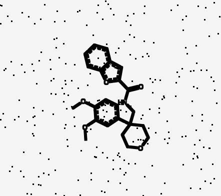 COc1ccc(C2(CNC(=O)c3cc4ccccc4o3)CCOCC2)cc1OC